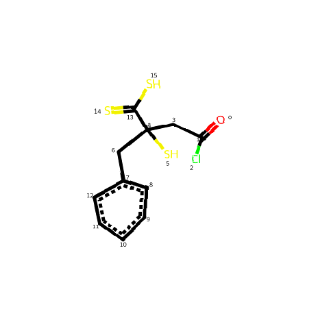 O=C(Cl)CC(S)(Cc1ccccc1)C(=S)S